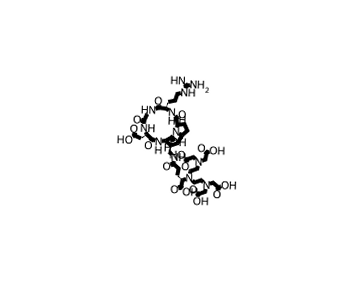 N=C(N)NCCC[C@@H]1NC(=O)[C@@H]2CC[C@H]3C[C@@H](CNC(=O)CC[C@@H](C(=O)O)N(CCN(CC(=O)O)CC(=O)O)CCN(CC(=O)O)CC(=O)O)[C@@H](NC(=O)[C@H](CC(=O)O)NC(=O)CNC1=O)C(=O)N32